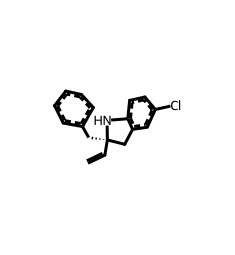 C=C[C@]1(Cc2ccccc2)Cc2cc(Cl)ccc2N1